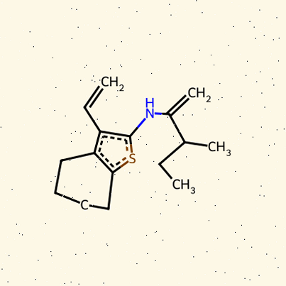 C=Cc1c(NC(=C)C(C)CC)sc2c1CCCC2